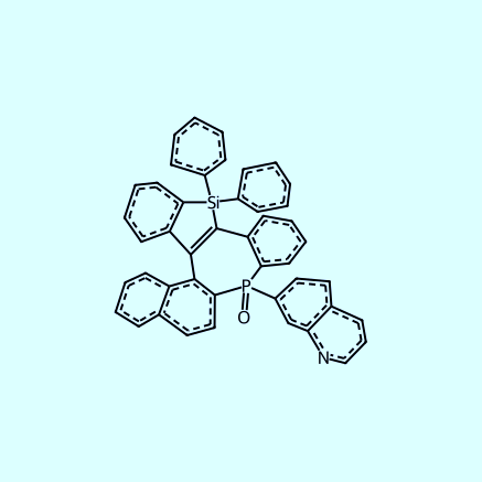 O=P1(c2ccc3cccnc3c2)c2ccccc2C2=C(c3ccccc3[Si]2(c2ccccc2)c2ccccc2)c2c1ccc1ccccc21